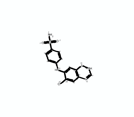 NS(=O)(=O)c1ccc(Nc2cc3c(cc2Cl)N=CNS3)cc1